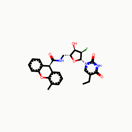 CCc1cn([C@@H]2O[C@H](CNC(=O)[C@@H]3c4ccccc4Oc4c(C)cccc43)[C@@H](O)[C@H]2F)c(=O)[nH]c1=O